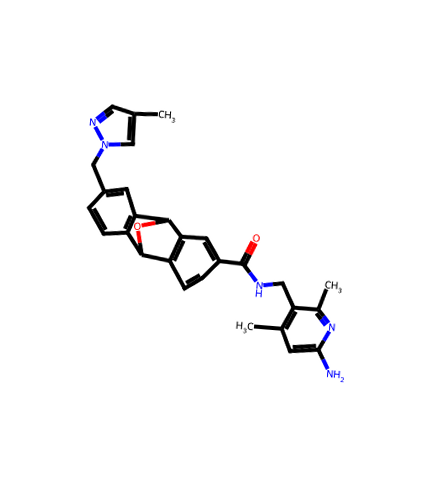 Cc1cnn(Cc2ccc3c(c2)C2OC3c3ccc(C(=O)NCc4c(C)cc(N)nc4C)cc32)c1